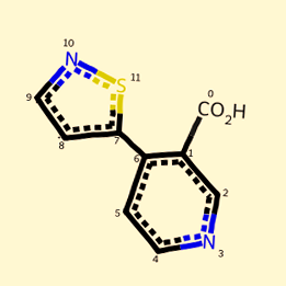 O=C(O)c1cnccc1-c1[c][c]ns1